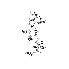 CC(NP(=O)(O)OC[C@@H]1O[C@@H](n2cnc3c(N)nc(F)nc32)[C@H](O)[C@H]1O)C(=O)O